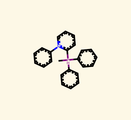 C[PH](c1ccccc1)(c1ccccc1)c1cccc[n+]1-c1ccccc1